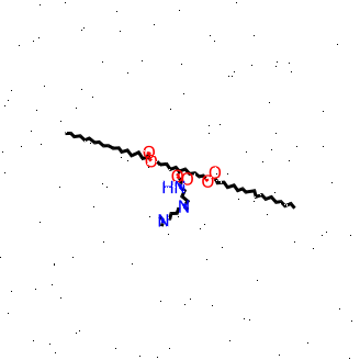 CCCCCCCCCCCCCCCCCC(=O)OCCCCCC(CCCCCOC(=O)CCCCCCCCCCCCCCCCC)OC(=O)NCCCN(C)CCCCN(C)C